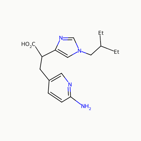 CCC(CC)Cn1cnc(C(Cc2ccc(N)nc2)C(=O)O)c1